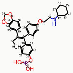 CC/C(=C(/c1ccc(OCCNC2CCCCC2)cc1)c1ccc(OP(O)O)cc1)c1ccc2c(c1)OCO2